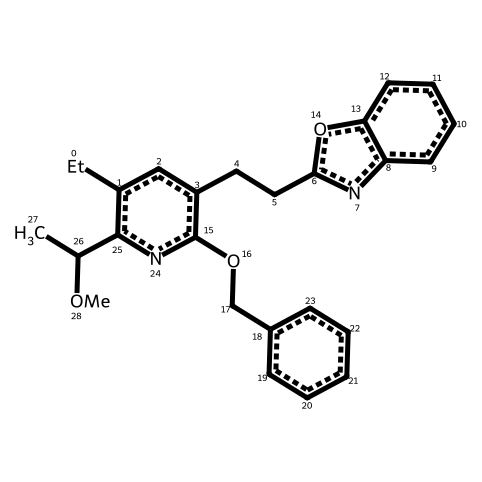 CCc1cc(CCc2nc3ccccc3o2)c(OCc2ccccc2)nc1C(C)OC